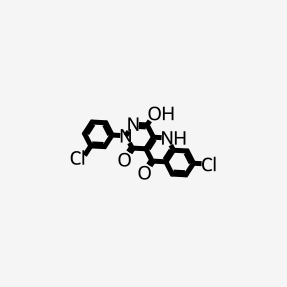 O=c1c2ccc(Cl)cc2[nH]c2c(O)nn(-c3cccc(Cl)c3)c(=O)c12